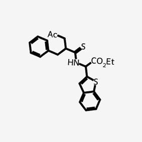 CCOC(=O)C(NC(=S)C(CC(C)=O)Cc1ccccc1)c1cc2ccccc2s1